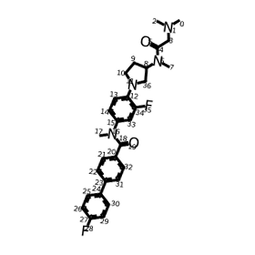 CN(C)CC(=O)N(C)C1CCN(c2ccc(N(C)C(=O)c3ccc(-c4ccc(F)cc4)cc3)cc2F)C1